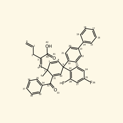 C=CCC(=NC1(C)C=CC(c2ccc(-c3ccccc3)cc2)(c2ccc(F)cc2F)C=C1C(=O)c1ccccc1)C(=O)O